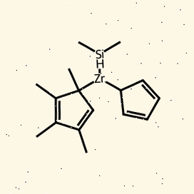 CC1=C[C](C)([Zr]([CH]2C=CC=C2)[SiH](C)C)C(C)=C1C